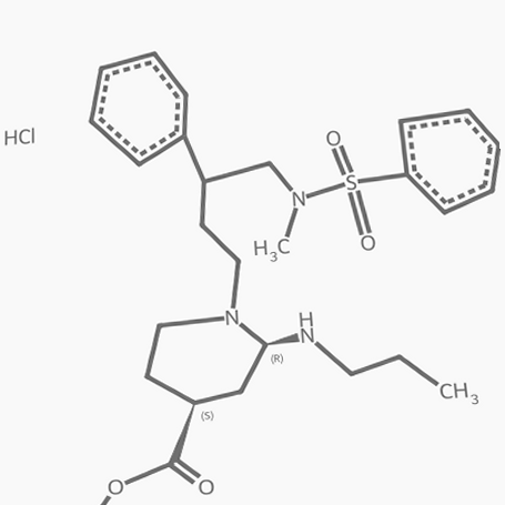 CCCN[C@H]1C[C@@H](C(=O)OC)CCN1CCC(CN(C)S(=O)(=O)c1ccccc1)c1ccccc1.Cl